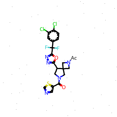 CC(=O)N1CC2(C1)CN(C(=O)c1cncs1)CC2c1nnc(C(F)(F)c2ccc(Cl)c(Cl)c2)o1